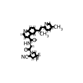 CC(=Cc1ccc(C)cn1)c1ccc2nccc(C(=O)NCC(=O)N3CC(F)(F)CC3C#N)c2c1